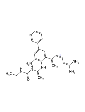 C=C(NC(=O)NCC)Nc1c(N)cc(-c2cccnc2)cc1C(=C)/C=C\C=C(N)N